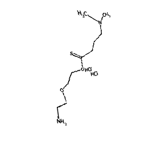 CN(C)CCCC(=S)OCCOCCN.Cl.Cl